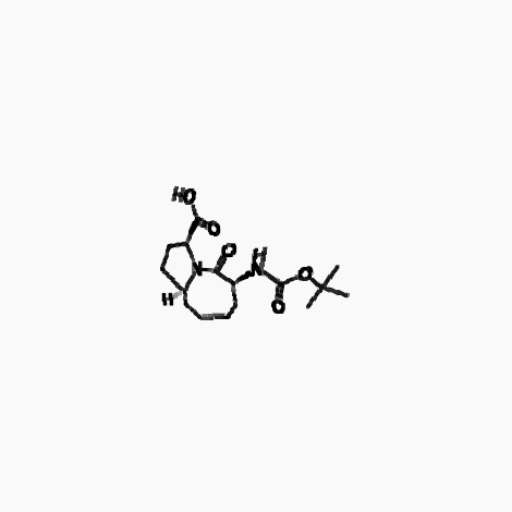 CC(C)(C)OC(=O)N[C@H]1C/C=C\C[C@H]2CC[C@@H](C(=O)O)N2C1=O